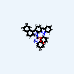 c1ccc(-n2c3ccccc3c3ccc4c5c6ccccc6ccc5n(-c5nc6ccccc6o5)c4c32)cc1